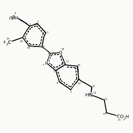 CCCCc1ccc(-c2nc3ccc(CNCCC(=O)O)cc3o2)cc1C(F)(F)F